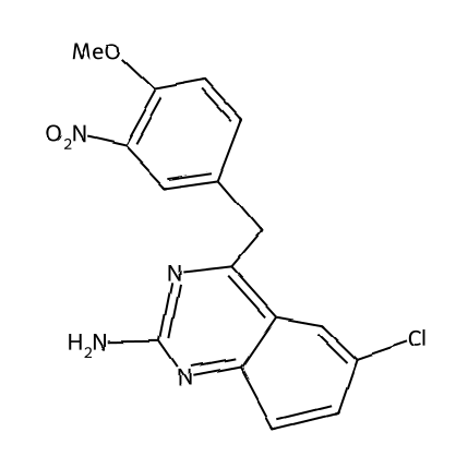 COc1ccc(Cc2nc(N)nc3ccc(Cl)cc23)cc1[N+](=O)[O-]